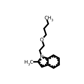 CCCCOCCn1c(C)cc2ccccc21